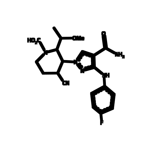 COC(C)C1C(n2cc(C(N)=O)c(Nc3ccc(F)cc3)n2)C(C#N)CCN1C(=O)O